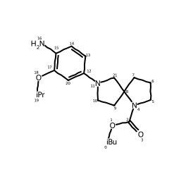 CCC(C)OC(=O)N1CCCC12CCN(c1ccc(N)c(OC(C)C)c1)C2